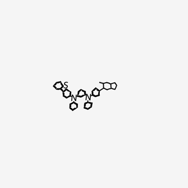 CC1CC2CCCC2CC1c1ccc(N(c2ccccc2)c2cccc(N(c3ccccc3)c3ccc4c(c3)sc3ccccc34)c2)cc1